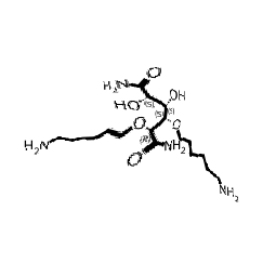 NCCCCCCO[C@@H]([C@@H](O)[C@H](O)C(N)=O)[C@@H](OCCCCCCN)C(N)=O